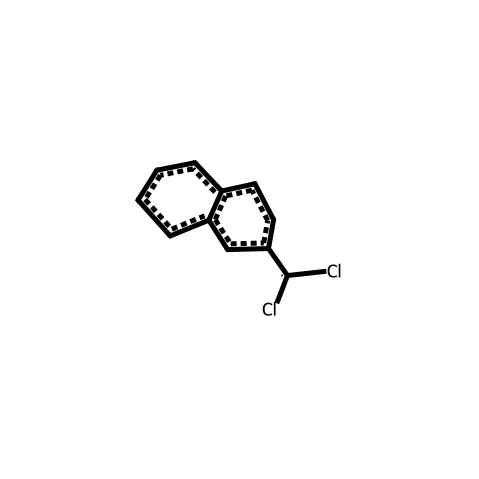 Cl[C](Cl)c1ccc2ccccc2c1